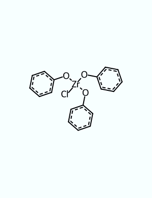 [Cl][Zr]([O]c1ccccc1)([O]c1ccccc1)[O]c1ccccc1